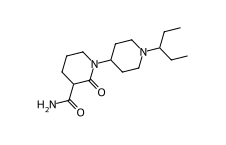 CCC(CC)N1CCC(N2CCCC(C(N)=O)C2=O)CC1